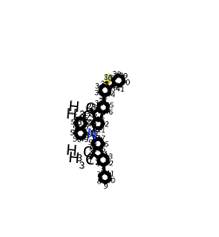 CC1(C)c2cc(-c3ccccc3)ccc2-c2ccc(N(c3ccc4c(c3)C(C)(C)c3cc(-c5ccc6sc7ccccc7c6c5)ccc3-4)c3cccc4ccccc34)cc21